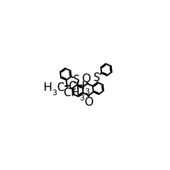 CC(C)(C)c1ccccc1Sc1cccc2c1C(=O)c1c(Sc3ccccc3)cccc1C2=O